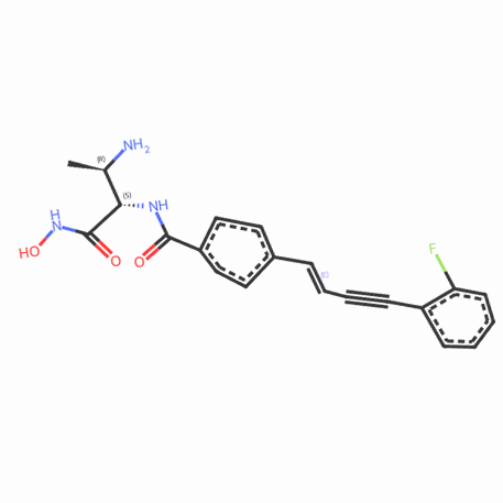 C[C@@H](N)[C@H](NC(=O)c1ccc(/C=C/C#Cc2ccccc2F)cc1)C(=O)NO